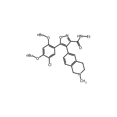 CCCCOc1cc(OCCCC)c(-c2onc(C(=O)NCC)c2-c2ccc3c(c2)CCN(C)C3)cc1Cl